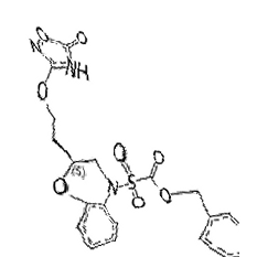 O=C(OCc1ccccc1)S(=O)(=O)N1C[C@H](CCOc2noc(=O)[nH]2)Oc2ccccc21